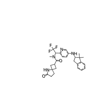 CN(C(=O)C1CC2(CCC(=O)N2)C1)C(c1ccc(NC2Cc3ccccc3C2(C)C)cn1)C(F)(F)F